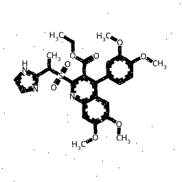 CCOC(=O)c1c(S(=O)(=O)C(C)c2ncc[nH]2)nc2cc(OC)c(OC)cc2c1-c1ccc(OC)c(OC)c1